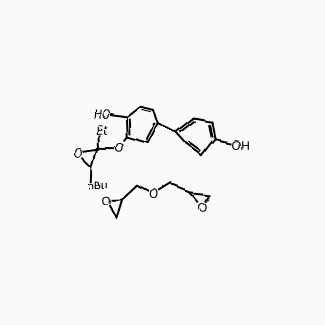 C(OCC1CO1)C1CO1.CCCCC1OC1(CC)Oc1cc(-c2ccc(O)cc2)ccc1O